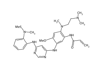 C=CC(=O)Nc1cc(Nc2cc(Nc3ccccc3N(C)SC)ncn2)c(OC)cc1N(C)CCN(C)C